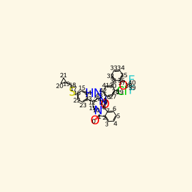 O=C1c2ccccc2C(=O)N1CC(c1ccc(SCC2CC2)cc1)c1nc2cc(Cl)c(-c3ccccc3OC(F)F)cc2[nH]1